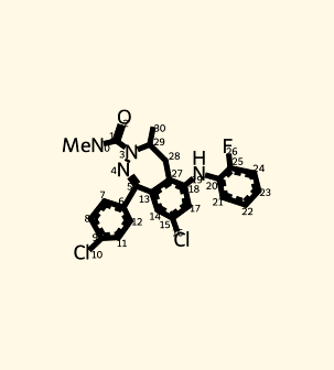 CNC(=O)N1N=C(c2ccc(Cl)cc2)c2cc(Cl)cc(Nc3ccccc3F)c2CC1C